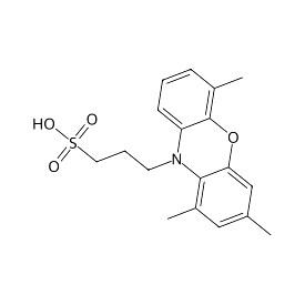 Cc1cc(C)c2c(c1)Oc1c(C)cccc1N2CCCS(=O)(=O)O